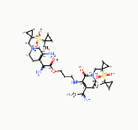 CCOC(=O)C(=N)C1=C(NCCCOC(=O)C(=N)C2=C(N)CN(CC3(S(=O)(=O)C4(C)CC4)CC3)CC2)C(=O)N(CC2(S(=O)(=O)C3(C)CC3)CC2)CC1